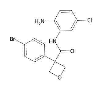 Nc1ccc(Cl)cc1NC(=O)C1(c2ccc(Br)cc2)COC1